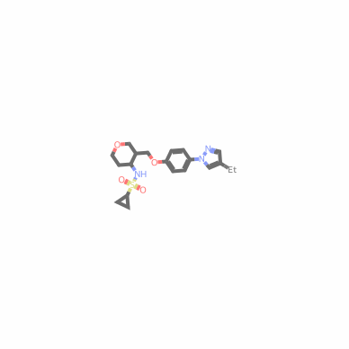 CCc1cnn(-c2ccc(OCC3COCCC3NS(=O)(=O)C3CC3)cc2)c1